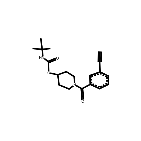 C#Cc1cccc(C(=O)N2CCC(OC(=O)NC(C)(C)C)CC2)c1